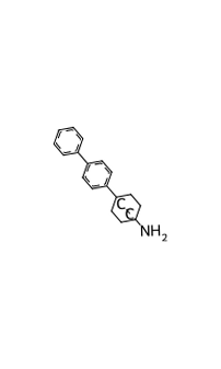 NC12CCC(c3ccc(-c4ccccc4)cc3)(CC1)CC2